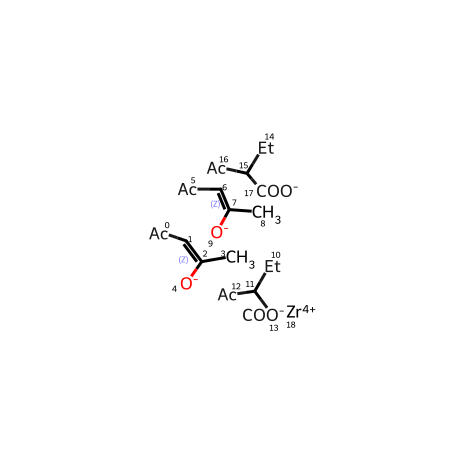 CC(=O)/C=C(/C)[O-].CC(=O)/C=C(/C)[O-].CCC(C(C)=O)C(=O)[O-].CCC(C(C)=O)C(=O)[O-].[Zr+4]